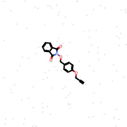 C#CCOc1ccc(CON2C(=O)c3ccccc3C2=O)cc1